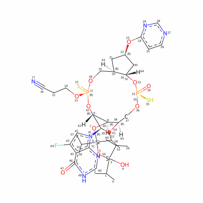 CC(C)[Si](O)(O[Si](O[C@H]1[C@H]2O[P@@](=S)(OCCC#N)OC[C@H]3C[C@@H](Oc4ccncn4)C[C@@H]3O[P@@](=O)(S)OC[C@H]1O[C@H]2n1cc(F)c2c(=O)[nH]cnc21)(C(C)C)C(C)C)C(C)C